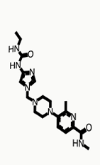 CCNC(=O)Nc1cn(CN2CCN(c3ccc(C(=O)NC)nc3C)CC2)cn1